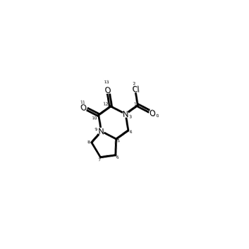 O=C(Cl)N1CC2CCCN2C(=O)C1=O